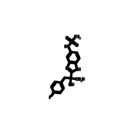 CS(=O)(=O)Nc1ccc2[nH]c(C(O)(Cc3ccc(F)cc3)C(=O)O)nc2c1